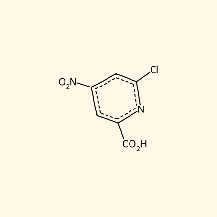 O=C(O)c1cc([N+](=O)[O-])cc(Cl)n1